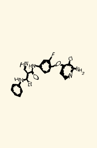 CC/C(Nc1ccccc1)=C(/C=N)C(=O)Nc1ccc(Oc2ccnc(N)c2Cl)c(F)c1